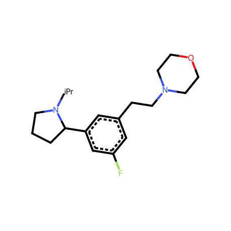 CC(C)N1CCCC1c1cc(F)cc(CCN2CCOCC2)c1